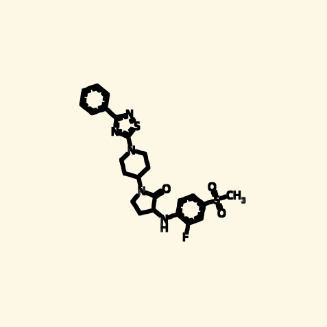 CS(=O)(=O)c1ccc(NC2CCN(C3CCN(c4nc(-c5ccccc5)ns4)CC3)C2=O)c(F)c1